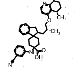 C[C@@H](COc1ccnc2c1[C@H](C)CCC2)CC1Cc2ccccc2C12CCC(Nc1cccc(C#N)c1)(C(=O)O)CC2